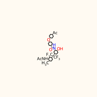 CC(=O)Nc1cc(C(c2ccc(O)c(NC(=O)c3ccc(Oc4ccc(C(C)=O)cc4)cc3)c2)(C(F)(F)F)C(F)(F)F)ccc1C